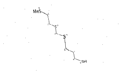 CSCCSCSCCCS